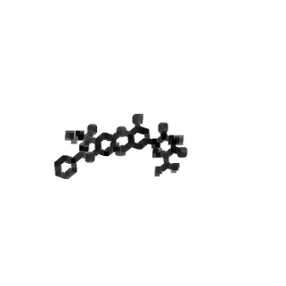 NS(=O)(=O)c1cc(Oc2c(Cl)cc(-n3nc(C(F)F)c(=O)[nH]c3=O)cc2Cl)ncc1OCc1ccccc1